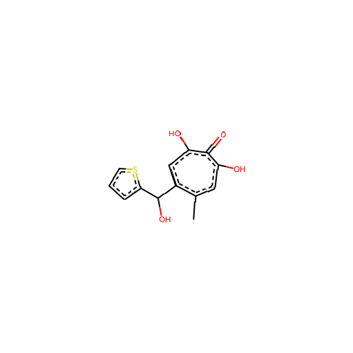 Cc1cc(O)c(=O)c(O)cc1C(O)c1cccs1